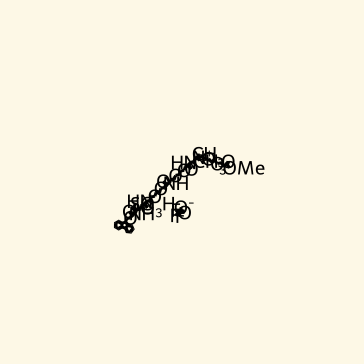 COC(=O)CCOCCOCC[N+](C)(C)CCNC(=O)COCCOCCNC(=O)COCCOCCNC(=O)CCC(CS(=O)(=O)O)NC(=O)OCC1c2ccccc2-c2ccccc21.O=C([O-])C(F)(F)F